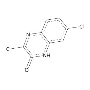 O=c1[nH]c2cc(Cl)ccc2nc1Cl